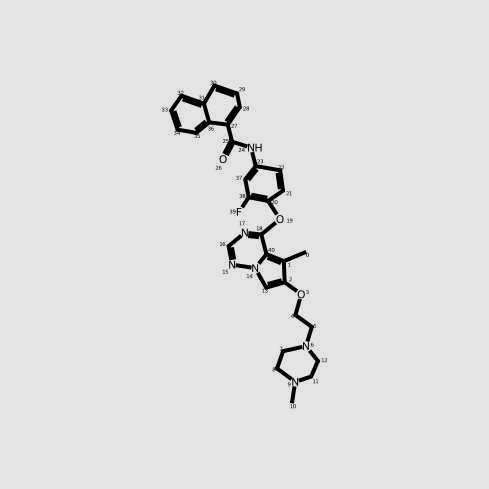 Cc1c(OCCN2CCN(C)CC2)cn2ncnc(Oc3ccc(NC(=O)c4cccc5ccccc45)cc3F)c12